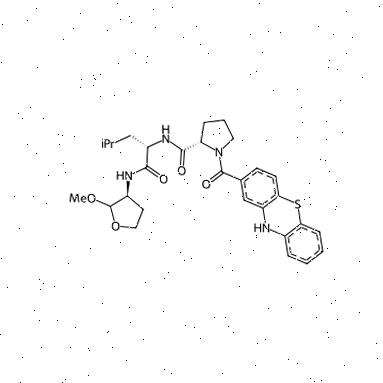 COC1OCC[C@@H]1NC(=O)[C@H](CC(C)C)NC(=O)[C@@H]1CCCN1C(=O)c1ccc2c(c1)Nc1ccccc1S2